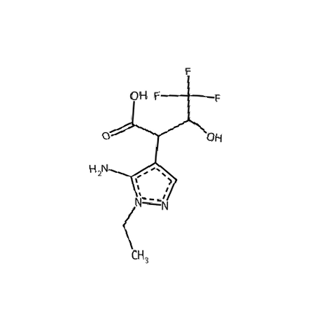 CCn1ncc(C(C(=O)O)C(O)C(F)(F)F)c1N